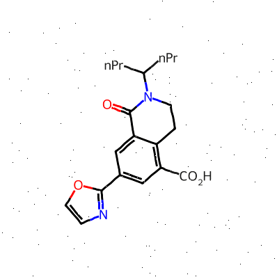 CCCC(CCC)N1CCc2c(C(=O)O)cc(-c3ncco3)cc2C1=O